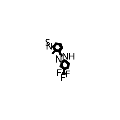 Cc1c(N=S)cccc1-c1nc2cc(C(F)(F)F)ccc2[nH]1